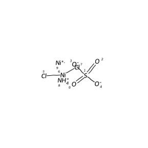 O=S(=O)([O-])[O-].[Cl][Ni][Cl].[NH4+].[Ni+]